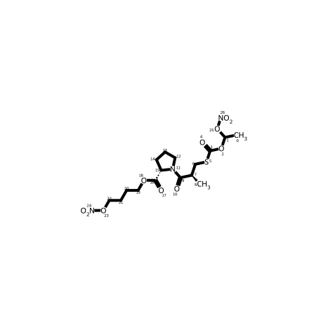 CC(OC(=O)SC[C@@H](C)C(=O)N1CCC[C@H]1C(=O)OCCCCO[N+](=O)[O-])O[N+](=O)[O-]